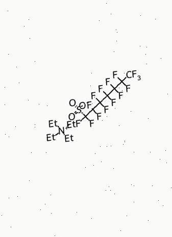 CC[N+](CC)(CC)CC.O=S(=O)([O-])C(F)(F)C(F)(F)C(F)(F)C(F)(F)C(F)(F)C(F)(F)C(F)(F)F